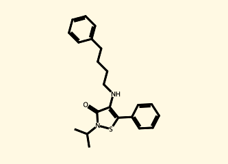 CC(C)n1sc(-c2ccccc2)c(NCCCCc2ccccc2)c1=O